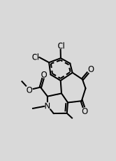 COC(=O)C1C2C(=C(C)CN1C)C(=O)CC(=O)c1cc(Cl)c(Cl)cc12